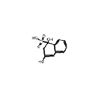 O=S(=O)(O)C1(O)[CH]C(O)=Cc2ccccc21